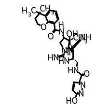 C[C@@H]1C(NC(=O)c2cccc3c2OCCC3(C)C)CN2C(=N)N[C@@H](CNC(=O)c3ccc(O)nn3)C3NC(=N)N(O)[C@]312